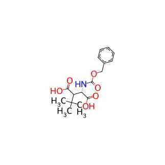 CC(C)(C)C(C(=O)O)[C@H](NC(=O)OCc1ccccc1)C(=O)O